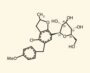 COc1ccc(Cc2cc([C@@H]3O[C@H](CO)[C@@H](O)[C@H](O)[C@H]3O)c3c(c2Cl)CC(C)O3)cc1